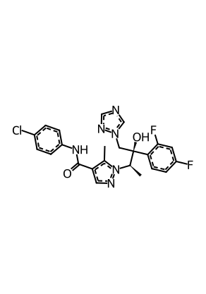 Cc1c(C(=O)Nc2ccc(Cl)cc2)cnn1[C@H](C)[C@](O)(Cn1cncn1)c1ccc(F)cc1F